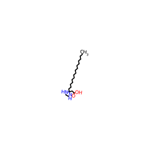 CCCCCCCCCCCCCCCCCC1(CC(=O)O)NCCN1